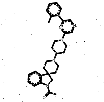 CC(=O)N1CC2(CCN(C3CCN(c4cncc(-c5ccccc5C)n4)CC3)CC2)c2ccccc21